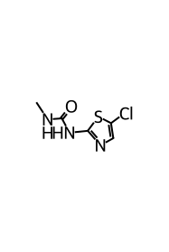 CNC(=O)Nc1ncc(Cl)s1